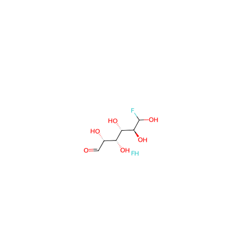 F.O=C[C@H](O)[C@@H](O)[C@H](O)[C@H](O)C(O)F